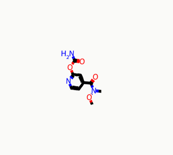 CON(C)C(=O)c1ccnc(OC(N)=O)c1